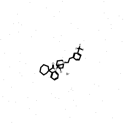 O=C(O[C@H]1C[N+]2(CCc3cccc(C(F)(F)F)c3)CCC1CC2)C1(c2ccccc2)CCCCCC1.[Br-]